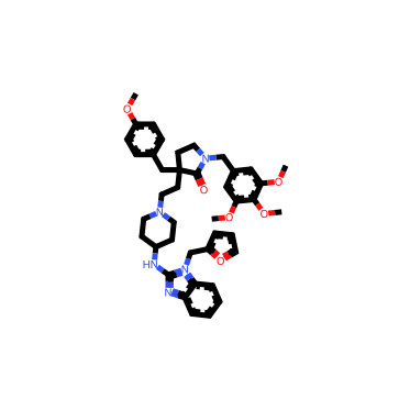 COc1ccc(CC2(CCN3CCC(Nc4nc5ccccc5n4Cc4ccco4)CC3)CCN(Cc3cc(OC)c(OC)c(OC)c3)C2=O)cc1